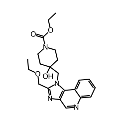 CCOCc1nc2cnc3ccccc3c2n1CC1(O)CCN(C(=O)OCC)CC1